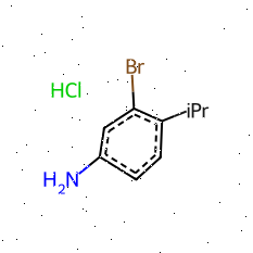 CC(C)c1ccc(N)cc1Br.Cl